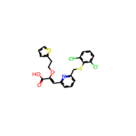 O=C(O)C(=Cc1cccc(CSc2c(Cl)cccc2Cl)n1)OCCc1cccs1